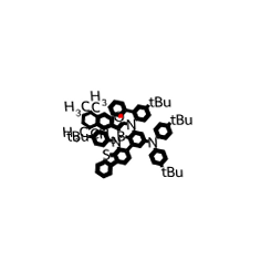 CC(C)(C)c1ccc(N2B3c4c(cc(N(c5ccc(C(C)(C)C)cc5)c5ccc(C(C)(C)C)cc5)cc4N(c4ccc(C(C)(C)C)cc4-c4ccccc4)c4oc5cc6c(cc5c43)C(C)(C)CCC6(C)C)-c3ccc4c(sc5ccccc54)c32)cc1